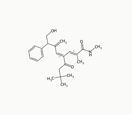 C=C(/C=C(\C=C(/C)C(=O)NC)C(=O)CC(C)(C)C)C(CO)c1ccccc1